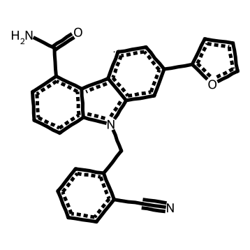 N#Cc1ccccc1Cn1c2cc(-c3ccco3)c[c]c2c2c(C(N)=O)cccc21